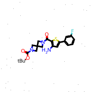 CC(C)(C)OC(=O)N1CC2(C1)CN(C(=O)c1sc(-c3cccc(F)c3)cc1N)C2